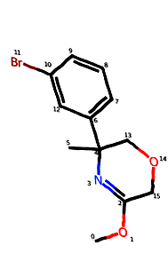 COC1=NC(C)(c2cccc(Br)c2)COC1